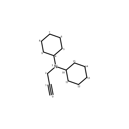 C#CCN(C1CCCCC1)C1CCCCC1